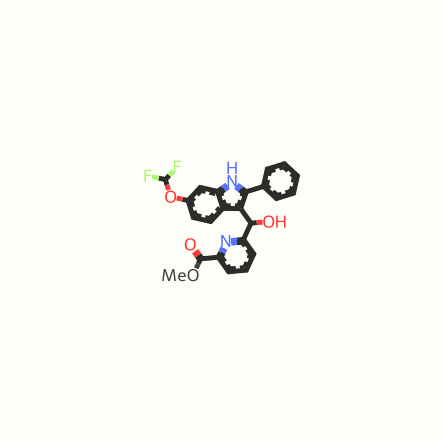 COC(=O)c1cccc(C(O)c2c(-c3ccccc3)[nH]c3cc(OC(F)F)ccc23)n1